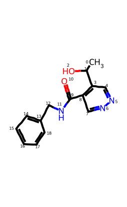 CC(O)c1cnncc1C(=O)NCc1ccccc1